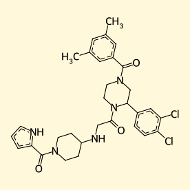 Cc1cc(C)cc(C(=O)N2CCN(C(=O)CNC3CCN(C(=O)c4ccc[nH]4)CC3)C(c3ccc(Cl)c(Cl)c3)C2)c1